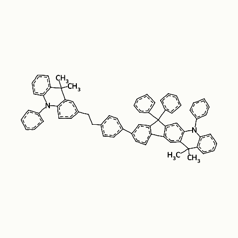 CC1(C)c2ccccc2N(c2ccccc2)c2ccc(CCc3ccc(-c4ccc5c(c4)C(c4ccccc4)(c4ccccc4)c4cc6c(cc4-5)C(C)(C)c4ccccc4N6c4ccccc4)cc3)cc21